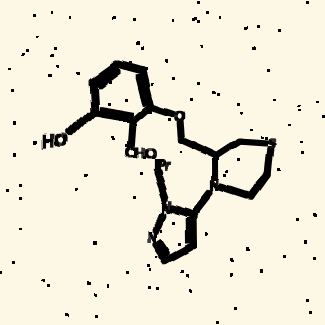 CC(C)n1nccc1N1CCSCC1COc1cccc(O)c1C=O